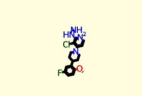 COc1ccc(F)cc1C1CCN(c2ccnc(NN)c2Cl)CC1